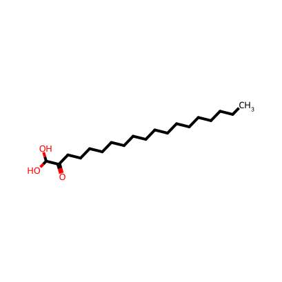 CCCCCCCCCCCCCCCCCC(=O)C(O)O